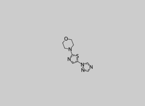 c1ncn(-c2cnc(N3CCOCC3)s2)n1